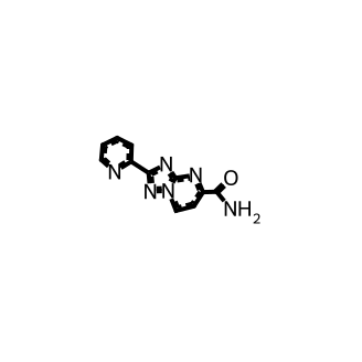 NC(=O)c1ccn2nc(-c3ccccn3)nc2n1